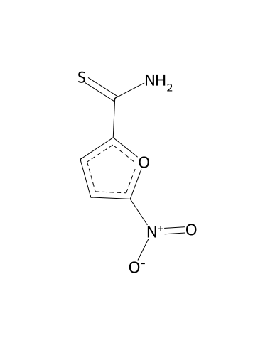 NC(=S)c1ccc([N+](=O)[O-])o1